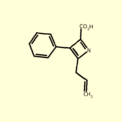 C=CCC1=C(c2ccccc2)C(C(=O)O)=N1